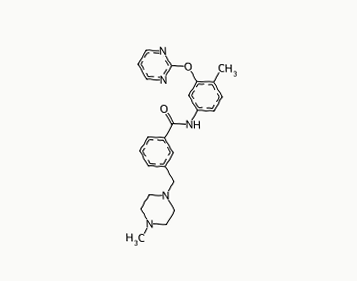 Cc1ccc(NC(=O)c2cccc(CN3CCN(C)CC3)c2)cc1Oc1ncccn1